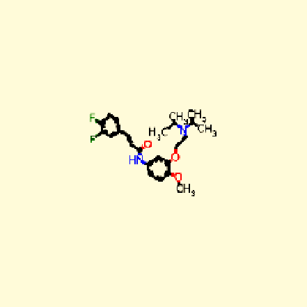 COc1ccc(NC(=O)C=Cc2ccc(F)c(F)c2)cc1OCCN(C(C)C)C(C)C